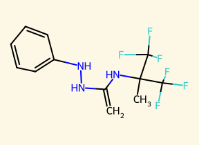 C=C(NNc1ccccc1)NC(C)(C(F)(F)F)C(F)(F)F